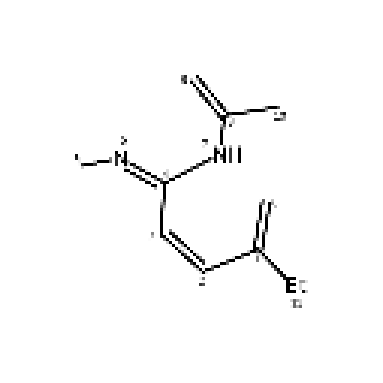 C=C(/C=C\C(=N/C)NC(=C)C)CC